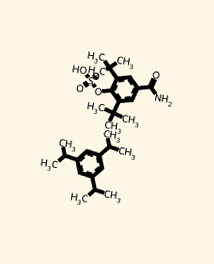 CC(C)(C)c1cc(C(N)=O)cc(C(C)(C)C)c1OS(=O)(=O)O.CC(C)c1cc(C(C)C)cc(C(C)C)c1